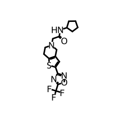 O=C(CN1CCc2sc(-c3noc(C(F)(F)F)n3)cc2C1)NC1CCCC1